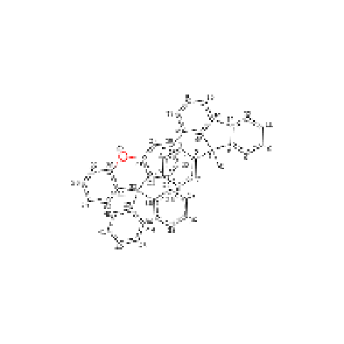 CC1(c2ccccc2)c2ccccc2-c2cccc(-c3ccc4c(c3)Oc3ccccc3C4(c3ccccc3)c3ccccc3)c21